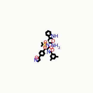 Cc1cc(C)cc(C(=O)N(C)[C@@H](Cc2ccc(-c3ccno3)cc2)C(=O)N([C@@H](Cc2c[nH]c3ccccc23)C(N)=O)S(=O)(=O)C(C)C)c1